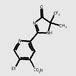 CCc1cnc(C2=NC(=O)C(C)(C(F)(F)F)N2)cc1C(=O)O